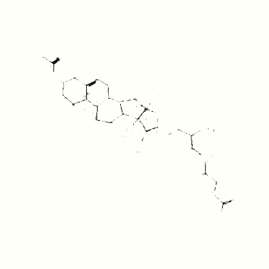 CC(=O)NCCOCC(C)CC[C@H]1O[C@H]2CC3C4CC=C5CC(OC(C)=O)CC[C@]5(C)C4CC[C@]3(C)[C@H]2[C@@H]1C